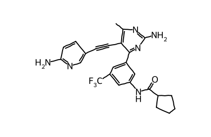 Cc1nc(N)nc(-c2cc(NC(=O)C3CCCC3)cc(C(F)(F)F)c2)c1C#Cc1ccc(N)nc1